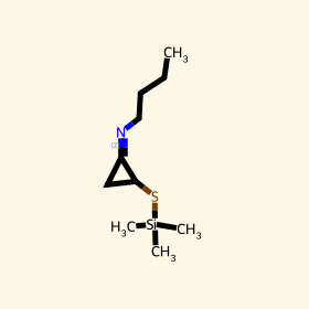 CCCC/N=C1/CC1S[Si](C)(C)C